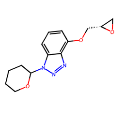 c1cc(OC[C@@H]2CO2)c2nnn(C3CCCCO3)c2c1